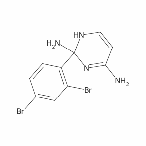 NC1=NC(N)(c2ccc(Br)cc2Br)NC=C1